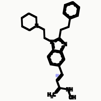 C=C(/C=C/c1ccc2c(c1)nc(CCc1ccccc1)n2CCN1CCCCC1)NO